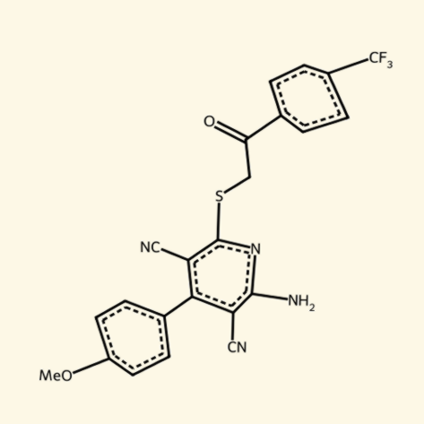 COc1ccc(-c2c(C#N)c(N)nc(SCC(=O)c3ccc(C(F)(F)F)cc3)c2C#N)cc1